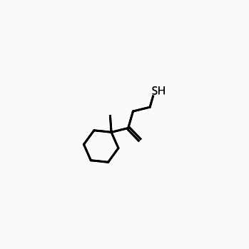 C=C(CCS)C1(C)CCCCC1